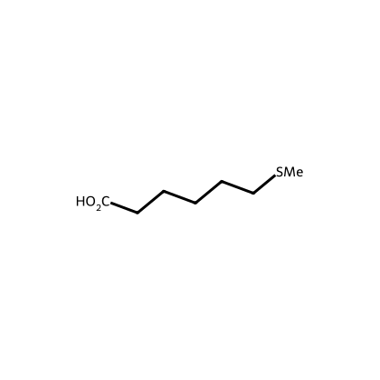 CSCCCCCC(=O)O